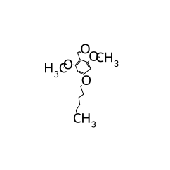 CCCCCCOc1cc(OC)c(C=O)c(OC)c1